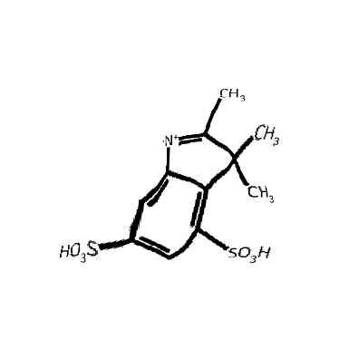 CC1=[N+]c2cc(S(=O)(=O)O)cc(S(=O)(=O)O)c2C1(C)C